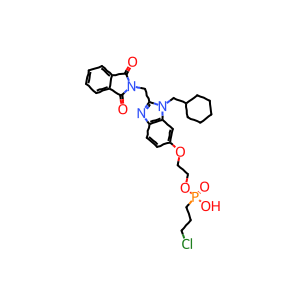 O=C1c2ccccc2C(=O)N1Cc1nc2ccc(OCCOP(=O)(O)CCCCl)cc2n1CC1CCCCC1